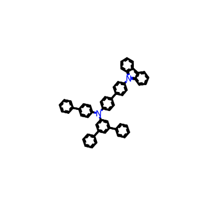 c1ccc(-c2ccc(N(c3ccc(-c4ccc(-n5c6ccccc6c6ccccc65)cc4)cc3)c3cc(-c4ccccc4)cc(-c4ccccc4)c3)cc2)cc1